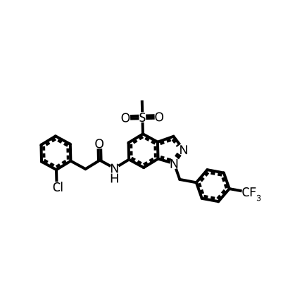 CS(=O)(=O)c1cc(NC(=O)Cc2ccccc2Cl)cc2c1cnn2Cc1ccc(C(F)(F)F)cc1